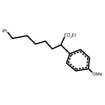 CCOC(=O)C(CCCCCC(C)C)c1ccc(OC)cc1